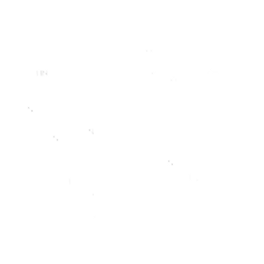 CCOC(=O)C1CCC(N(C)c2ncnc3[nH]ccc23)CC1.CNC1CCC(C(=O)O)CC1